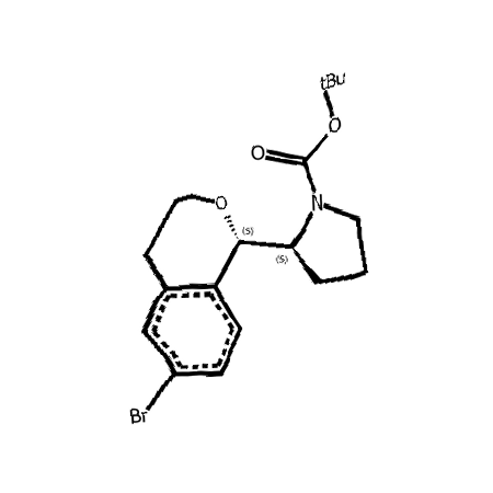 CC(C)(C)OC(=O)N1CCC[C@H]1[C@H]1OCCc2cc(Br)ccc21